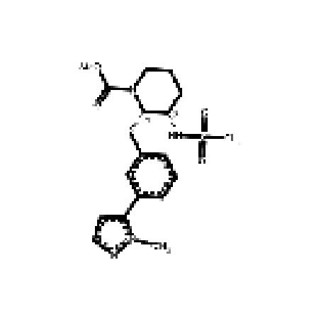 COC(=O)N1CCC[C@H](NS(C)(=O)=O)[C@@H]1Cc1cccc(-c2ccnn2C)c1